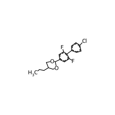 CCCC1COC(c2cc(F)c(-c3ccc(Cl)cc3)c(F)c2)OC1